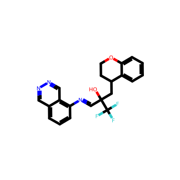 OC(C=Nc1cccc2cnncc12)(CC1CCOc2ccccc21)C(F)(F)F